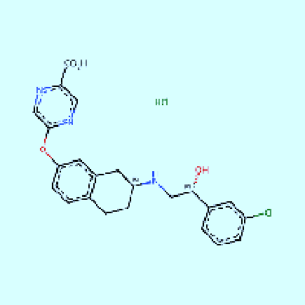 Cl.O=C(O)c1cnc(Oc2ccc3c(c2)C[C@@H](NC[C@H](O)c2cccc(Cl)c2)CC3)cn1